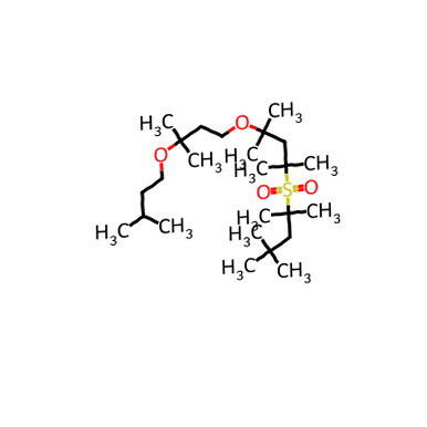 CC(C)CCOC(C)(C)CCOC(C)(C)CC(C)(C)S(=O)(=O)C(C)(C)CC(C)(C)C